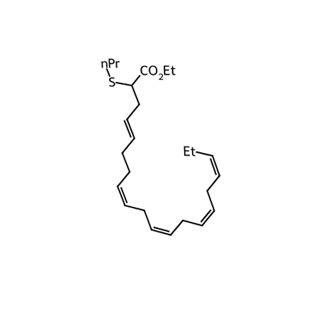 CC/C=C\C/C=C\C/C=C\C/C=C\CC/C=C/CC(SCCC)C(=O)OCC